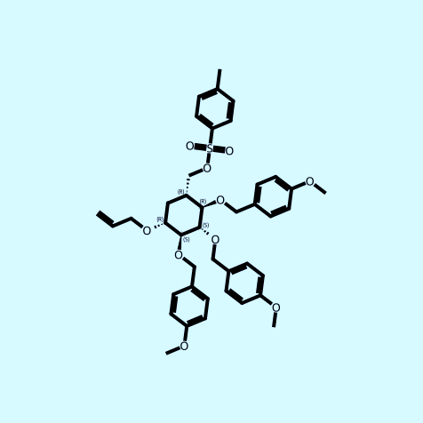 C=CCO[C@@H]1C[C@H](COS(=O)(=O)c2ccc(C)cc2)[C@@H](OCc2ccc(OC)cc2)[C@H](OCc2ccc(OC)cc2)[C@H]1OCc1ccc(OC)cc1